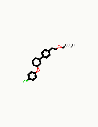 O=C(O)COCCc1ccc(C2CCCC(Oc3ccc(Cl)cc3)C2)cc1